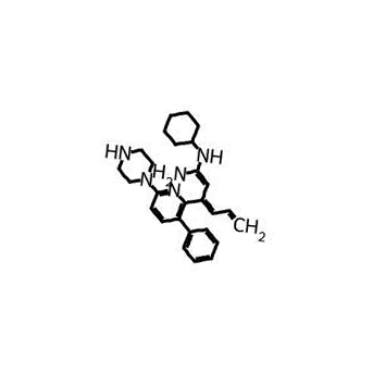 C=C/C=C(\C=C(/N)NC1CCCCC1)c1nc(N2CCNCC2)ccc1-c1ccccc1